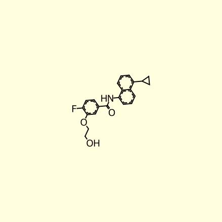 O=C(Nc1cccc2c(C3CC3)cccc12)c1ccc(F)c(OCCO)c1